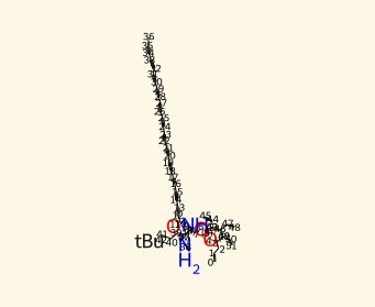 C=CCC1O[C@H](OC[C@H](NC(=O)C#CC#CC#CC#CC#CC#CC#CC#CC#CC#CC#CC#CC)[C@H](N)CCCC(C)(C)C)[C@@H](C=C)C(C=C)[C@H]1C=C